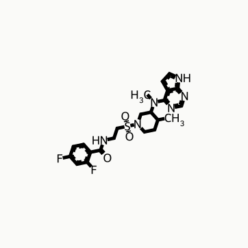 CC1CCN(S(=O)(=O)CCNC(=O)c2ccc(F)cc2F)CC1N(C)c1ncnc2[nH]ccc12